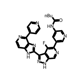 CCCCC(=O)Nc1cncc(-c2ncc3[nH]nc(-c4nc5c(-c6ccncc6)nccc5[nH]4)c3c2F)c1